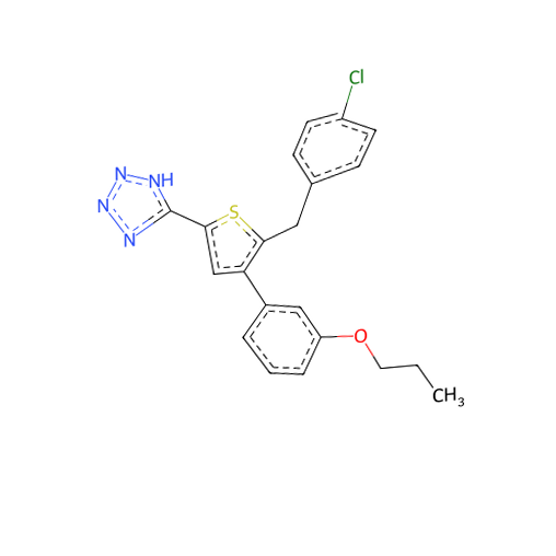 CCCOc1cccc(-c2cc(-c3nnn[nH]3)sc2Cc2ccc(Cl)cc2)c1